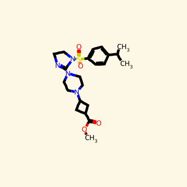 COC(=O)C1CC(N2CCN(C3=NCCN3S(=O)(=O)c3ccc(C(C)C)cc3)CC2)C1